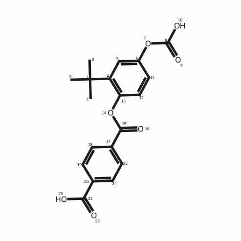 CC(C)(C)c1cc(OC(=O)O)ccc1OC(=O)c1ccc(C(=O)O)cc1